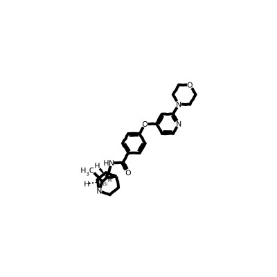 C[C@H]1[C@H](NC(=O)c2ccc(Oc3ccnc(N4CCOCC4)c3)cc2)C2CCN1CC2